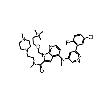 CN1CCN(CCN(C)C(=O)c2cc3c(Nc4cnnc(-c5cc(Cl)ccc5F)c4)ccnc3n2COCC[Si](C)(C)C)CC1